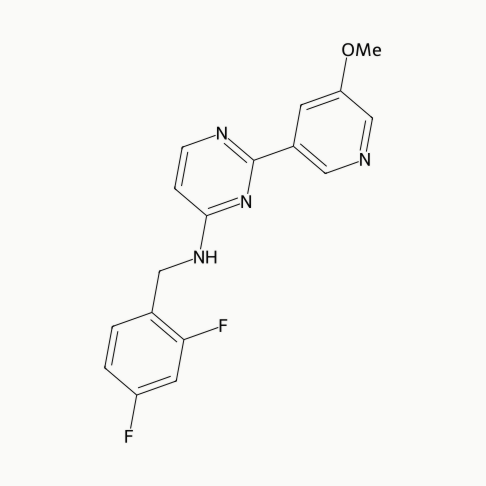 COc1cncc(-c2nccc(NCc3ccc(F)cc3F)n2)c1